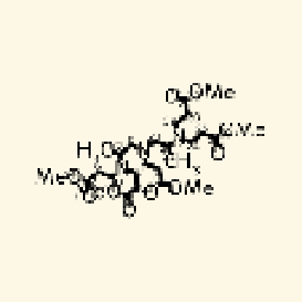 COC(=O)CCN(CC(C)N(CCC(=O)OC)CCC(=O)OC)CC(C)N(CCC(=O)OC)CCC(=O)OC